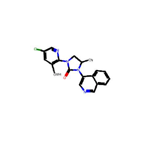 COc1cc(Cl)cnc1N1CC(C#N)N(c2cncc3ccccc23)C1=O